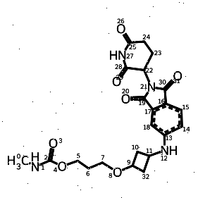 CNC(=O)OCCCOC1CC(Nc2ccc3c(c2)C(=O)N(C2CCC(=O)NC2=O)C3=O)C1